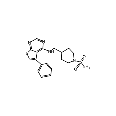 NS(=O)(=O)N1CCC(CNc2ncnc3scc(-c4ccccc4)c23)CC1